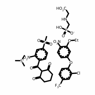 CCOc1cc(Oc2ccc(C(F)(F)F)cc2Cl)ccc1[N+](=O)[O-].CS(=O)(=O)c1ccc(C(=O)C2C(=O)CCCC2=O)c([N+](=O)[O-])c1.C[S+](C)C.O=C(O)CNCP(=O)([O-])O